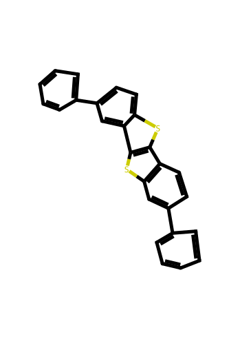 c1ccc(-c2ccc3c(c2)sc2c4cc(-c5ccccc5)ccc4sc32)cc1